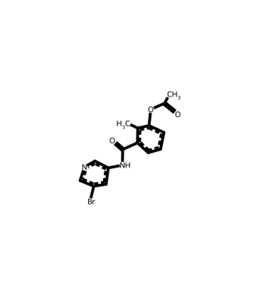 CC(=O)Oc1cccc(C(=O)Nc2cncc(Br)c2)c1C